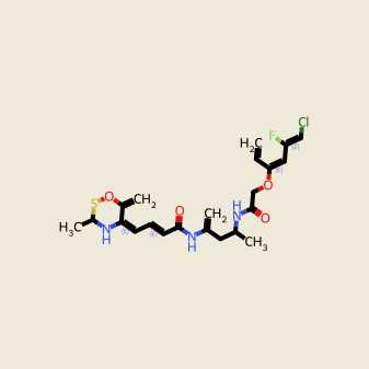 C=C/C(=C\C(F)=C\Cl)OCC(=O)NC(C)CC(=C)NC(=O)/C=C/C=C1/NC(C)SOC1=C